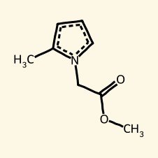 COC(=O)Cn1cccc1C